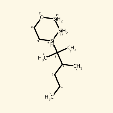 CCCC(C)C(C)(C)[SiH]1CCO[SiH2][SiH2]1